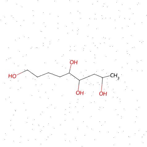 CC(O)CC(O)C(O)CCCCO